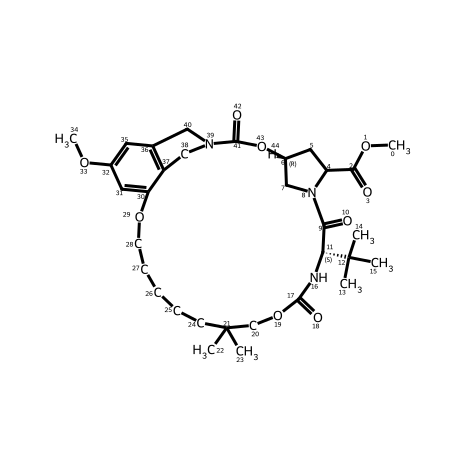 COC(=O)C1C[C@@H]2CN1C(=O)[C@H](C(C)(C)C)NC(=O)OCC(C)(C)CCCCCOc1cc(OC)cc3c1CN(C3)C(=O)O2